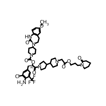 COc1ccc2c(c1)CCN(C1CCN(C(=O)O[C@H](Cc3cc(Cl)c(N)c(C(F)(F)F)c3)C(=O)N3CCC(C4CCN(CC(=O)OCCCN5CCCCC5=O)CC4)CC3)CC1)C(=O)N2